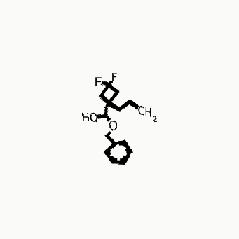 C=CCC1(C(O)OCc2ccccc2)CC(F)(F)C1